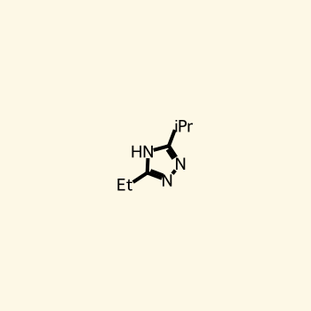 CCc1nnc(C(C)C)[nH]1